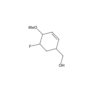 COC1C=CC(CO)CC1F